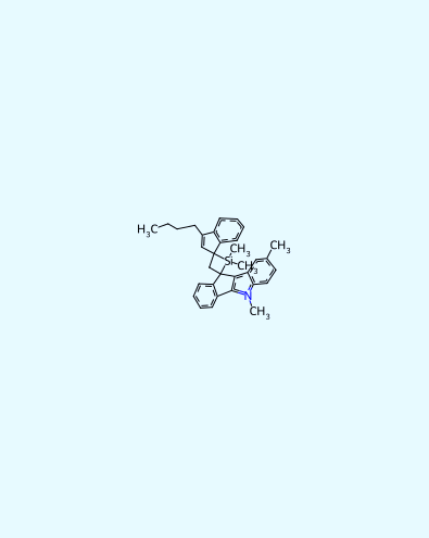 CCCCC1=CC2(CC3(c4ccccc4-c4c3c3cc(C)ccc3n4C)[Si]2(C)C)c2ccccc21